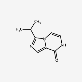 CC(C)c1ncc2c(=O)[nH]ccn12